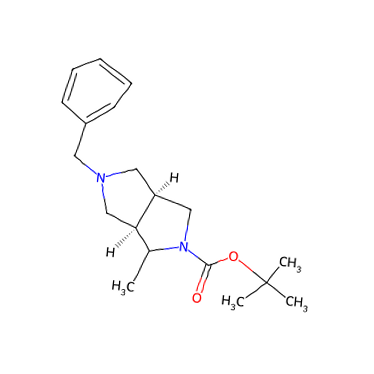 CC1[C@H]2CN(Cc3ccccc3)C[C@H]2CN1C(=O)OC(C)(C)C